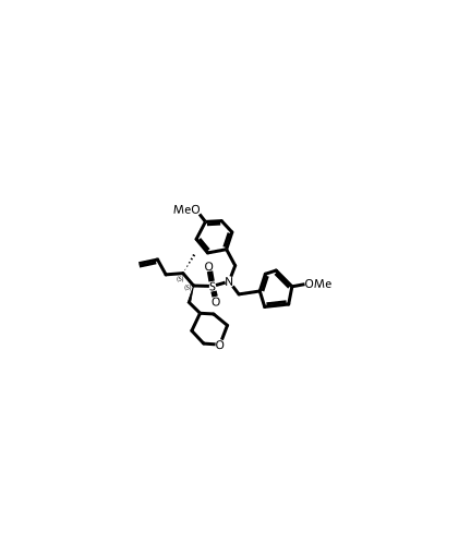 C=CC[C@H](C)[C@H](CC1CCOCC1)S(=O)(=O)N(Cc1ccc(OC)cc1)Cc1ccc(OC)cc1